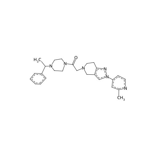 Cc1cc(-n2cc3c(n2)CCN(CC(=O)N2CCN(C(C)c4ccccc4)CC2)C3)ccn1